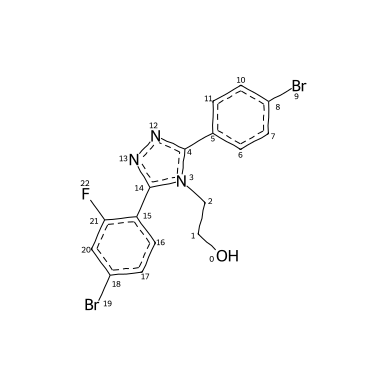 OCCn1c(-c2ccc(Br)cc2)nnc1-c1ccc(Br)cc1F